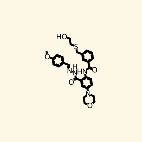 COc1ccc(C=NNC(=O)c2cc(N3CCOCC3)ccc2NC(=O)c2cccc(CSCCO)c2)cc1